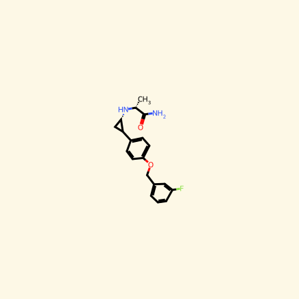 C[C@@H](N[C@H]1CC1c1ccc(OCc2cccc(F)c2)cc1)C(N)=O